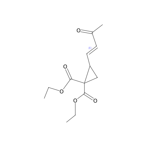 CCOC(=O)C1(C(=O)OCC)CC1/C=C/C(C)=O